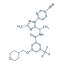 Cc1nc(C(C)NC(=O)c2cc(OCC3CCOCC3)cc(C(F)(F)F)c2)n(-c2ccc(C#N)cn2)n1